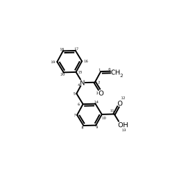 C=CC(=O)N(Cc1cccc(C(=O)O)c1)c1ccccc1